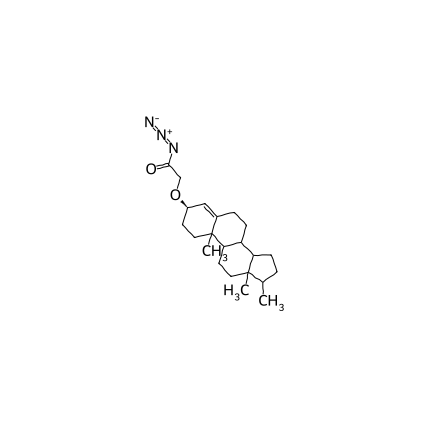 CC1CCC2C3CCC4=C[C@H](OCC(=O)N=[N+]=[N-])CCC4(C)C3CCC12C